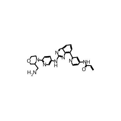 C=CC(=O)Nc1ccnc(-c2cccc3cnc(Nc4ccc(N5CCOCC5CN)nc4)nc23)c1